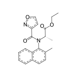 CCOC(=O)[C@H](C)N(C(=O)c1ccon1)c1c(C)ccc2ccccc12